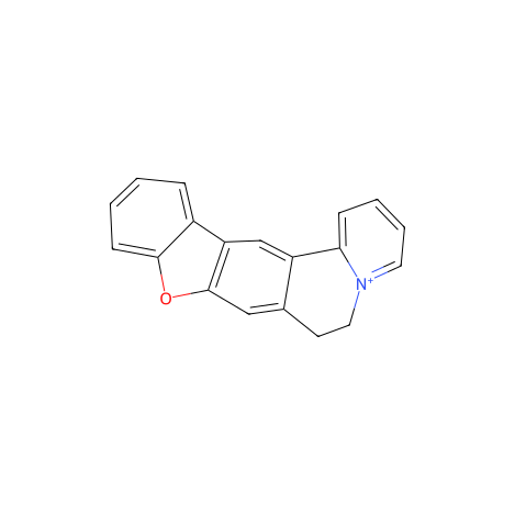 c1cc[n+]2c(c1)-c1cc3c(cc1CC2)oc1ccccc13